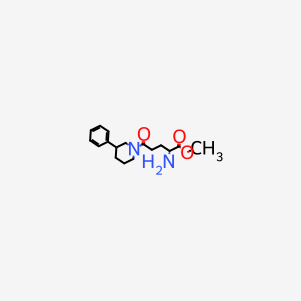 COC(=O)[C@@H](N)CCC(=O)N1CCCC(c2ccccc2)C1